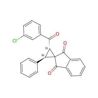 O=C(c1cccc(Cl)c1)[C@H]1[C@H](c2ccccc2)C12C(=O)c1ccccc1C2=O